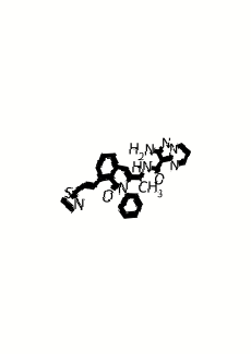 C[C@@H](NC(=O)c1c(N)nn2cccnc12)c1cc2cccc(/C=C/c3nccs3)c2c(=O)n1-c1ccccc1